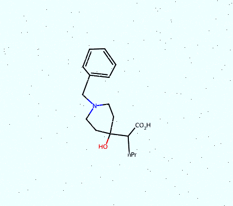 CCCC(C(=O)O)C1(O)CCN(Cc2ccccc2)CC1